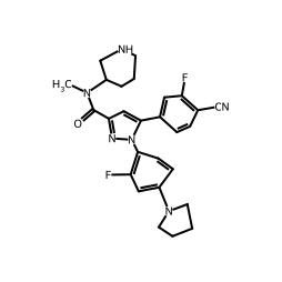 CN(C(=O)c1cc(-c2ccc(C#N)c(F)c2)n(-c2ccc(N3CCCC3)cc2F)n1)C1CCCNC1